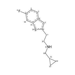 Fc1ccc2cc(CCNCC3CC3)sc2c1